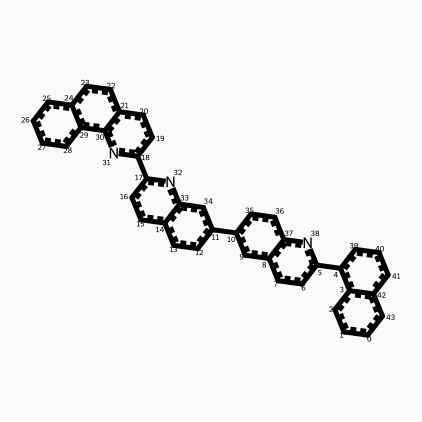 c1ccc2c(-c3ccc4cc(-c5ccc6ccc(-c7ccc8ccc9ccccc9c8n7)nc6c5)ccc4n3)cccc2c1